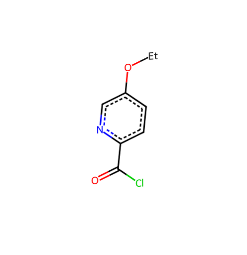 CCOc1ccc(C(=O)Cl)nc1